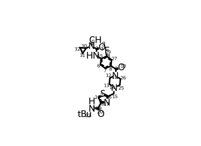 CN(C(=O)Nc1ccc(C(=O)N2CCN(Cc3nc(C(=O)NC(C)(C)C)cs3)CC2)cc1F)C1CC1